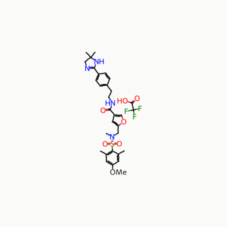 COc1cc(C)c(S(=O)(=O)N(C)Cc2cc(C(=O)NCCc3ccc(C4=NCC(C)(C)N4)cc3)co2)c(C)c1.O=C(O)C(F)(F)F